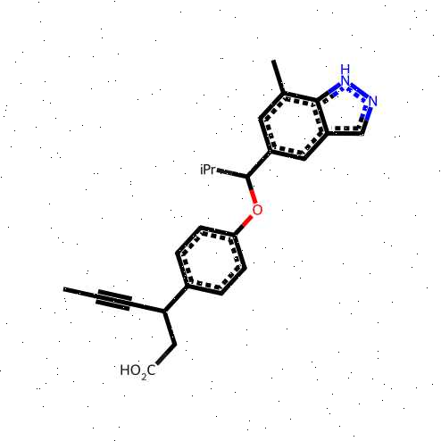 CC#CC(CC(=O)O)c1ccc(OC(c2cc(C)c3[nH]ncc3c2)C(C)C)cc1